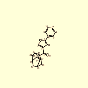 O=C(c1csc(-c2ccccc2)c1)N1CC2CC3CC(C2)CC1C3